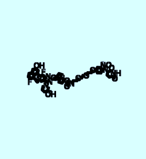 C#Cc1c(F)ccc2cc(O)cc(-c3ncc4c(N5CCC[C@@](C)(O)C5)nc(OC[C@@]56CCCN5[C@@H](OC(=O)N(C)CCOCCOCCOc5ccc7c(c5)n(C)c(=O)n7C5CCC(=O)NC5=O)CC6)nc4c3F)c12